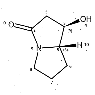 O=C1C[C@@H](O)[C@@H]2CCCN12